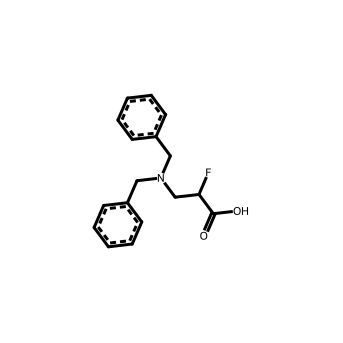 O=C(O)C(F)CN(Cc1ccccc1)Cc1ccccc1